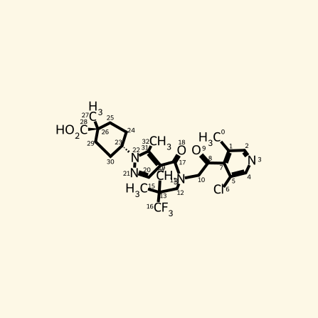 Cc1cncc(Cl)c1C(=O)CN(CC(C)(C)C(F)(F)F)C(=O)c1cnn([C@H]2CC[C@](C)(C(=O)O)CC2)c1C